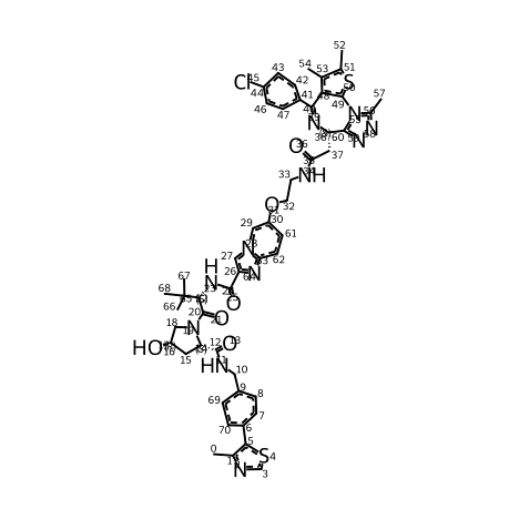 Cc1ncsc1-c1ccc(CNC(=O)[C@@H]2C[C@@H](O)CN2C(=O)[C@@H](NC(=O)c2cn3cc(OCCNC(=O)C[C@@H]4N=C(c5ccc(Cl)cc5)c5c(sc(C)c5C)-n5c(C)nnc54)ccc3n2)C(C)(C)C)cc1